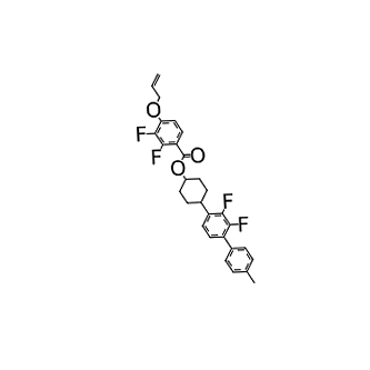 C=CCOc1ccc(C(=O)OC2CCC(c3ccc(-c4ccc(C)cc4)c(F)c3F)CC2)c(F)c1F